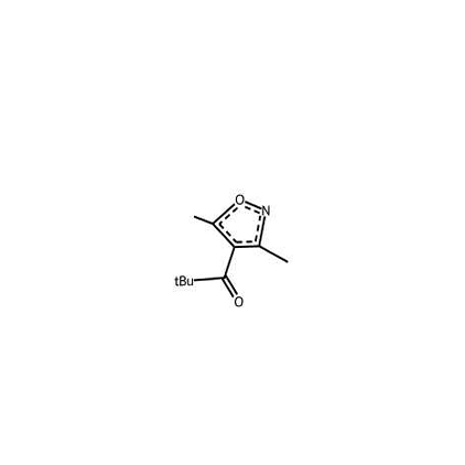 Cc1noc(C)c1C(=O)C(C)(C)C